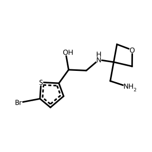 NCC1(NCC(O)c2ccc(Br)s2)COC1